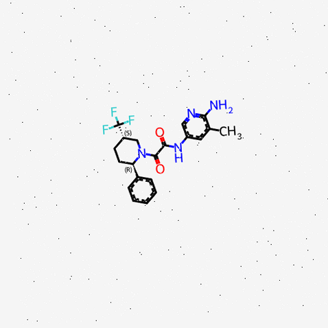 Cc1cc(NC(=O)C(=O)N2C[C@@H](C(F)(F)F)CC[C@@H]2c2ccccc2)cnc1N